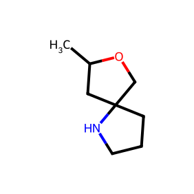 CC1CC2(CCCN2)CO1